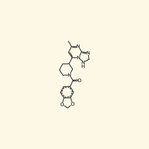 CC1=NC2=NCNN2C(C2CCCN(C(=O)c3ccc4c(c3)OCO4)C2)=C1